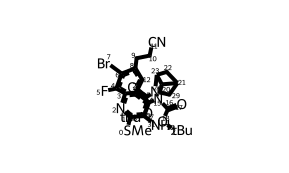 CSc1nc2c(F)c(Br)c(CCC#N)cc2c(N(C(=O)OC(C)(C)C)C2C3CC2N(C(=O)OC(C)(C)C)C3)c1N